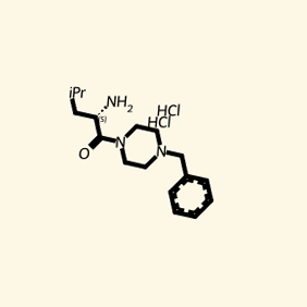 CC(C)C[C@H](N)C(=O)N1CCN(Cc2ccccc2)CC1.Cl.Cl